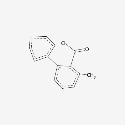 Cc1cccc(-c2ccccc2)c1C(=O)Cl